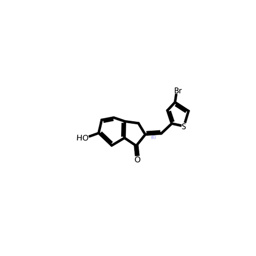 O=C1/C(=C/c2cc(Br)cs2)Cc2ccc(O)cc21